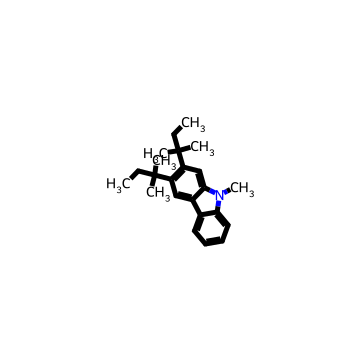 CCC(C)(C)c1cc2c3ccccc3n(C)c2cc1C(C)(C)CC